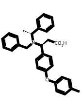 Cc1ccc(Oc2ccc([C@H](CC(=O)O)N(Cc3ccccc3)[C@H](C)c3ccccc3)cc2)cc1